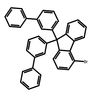 Brc1cccc2c1-c1ccccc1C2(c1cccc(-c2ccccc2)c1)c1cccc(-c2ccccc2)c1